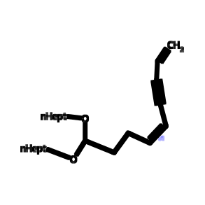 C=CC#C/C=C\CCC(OCCCCCCC)OCCCCCCC